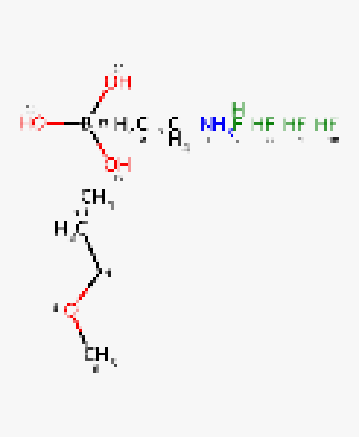 C.C.C.CCOC.F.F.F.F.N.OB(O)O